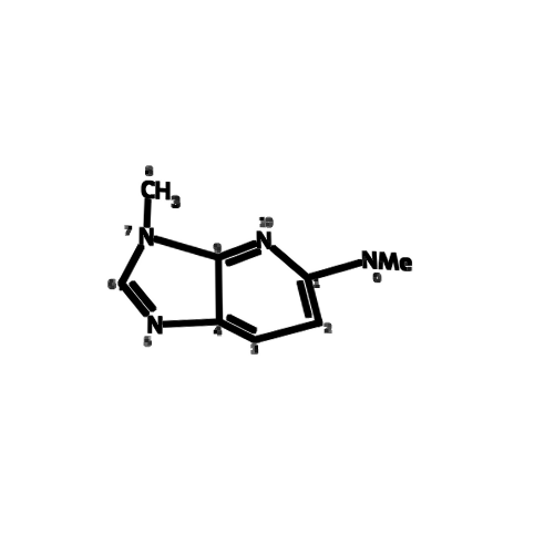 CNc1ccc2n[c]n(C)c2n1